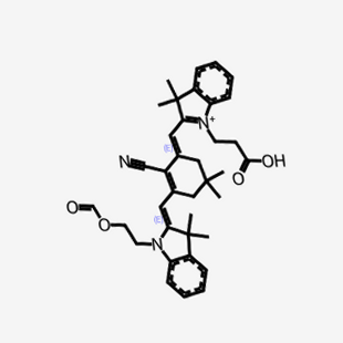 CC1(C)CC(/C=C2/N(CCOC=O)c3ccccc3C2(C)C)=C(C#N)C(=C/C2=[N+](CCC(=O)O)c3ccccc3C2(C)C)/C1